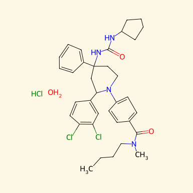 CCCCN(C)C(=O)c1ccc(N2CCC(NC(=O)NC3CCCC3)(c3ccccc3)CC2c2ccc(Cl)c(Cl)c2)cc1.Cl.O